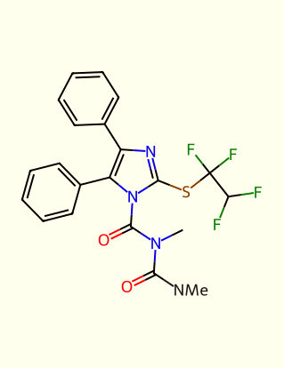 CNC(=O)N(C)C(=O)n1c(SC(F)(F)C(F)F)nc(-c2ccccc2)c1-c1ccccc1